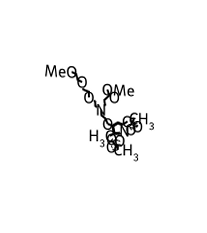 COCCOCCOCCN(CCOc1cc(OS(C)(=O)=O)nc(OS(C)(=O)=O)c1C)CCC(=O)OC